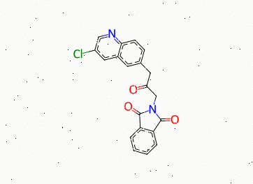 O=C(Cc1ccc2ncc(Cl)cc2c1)CN1C(=O)c2ccccc2C1=O